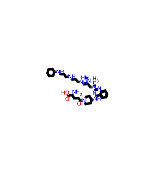 CN(C/C(=C/NCCCNCCCNC1CCCCC1)N=N)c1nc(NC2CCN(C(=O)CC[C@H](N)C(=O)O)CC2)c2ccccc2n1